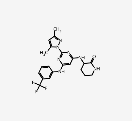 Cc1cc(C)n(-c2nc(Nc3cccc(C(F)(F)F)c3)cc(NC3CCCNC3=O)n2)n1